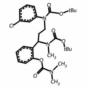 CN(C)C(=O)Oc1ccccc1C(CCN(C(=O)OC(C)(C)C)c1cccc(Cl)c1)N(C)C(=O)OC(C)(C)C